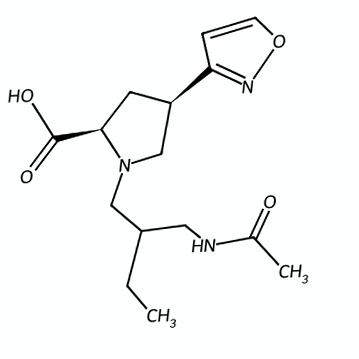 CCC(CNC(C)=O)CN1C[C@H](c2ccon2)C[C@@H]1C(=O)O